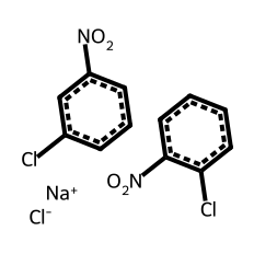 O=[N+]([O-])c1cccc(Cl)c1.O=[N+]([O-])c1ccccc1Cl.[Cl-].[Na+]